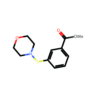 COC(=O)c1cccc(SN2CCOCC2)c1